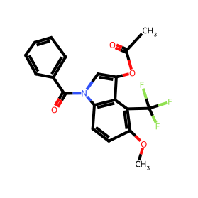 COc1ccc2c(c(OC(C)=O)cn2C(=O)c2ccccc2)c1C(F)(F)F